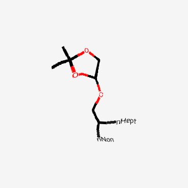 CCCCCCCCCC(CCCCCCC)COC1COC(C)(C)O1